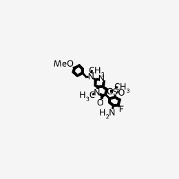 COc1ccc(CN(C)c2cc3c(cn2)cc(-c2cc(N)c(F)cc2S(C)(=O)=O)c(=O)n3C)cc1